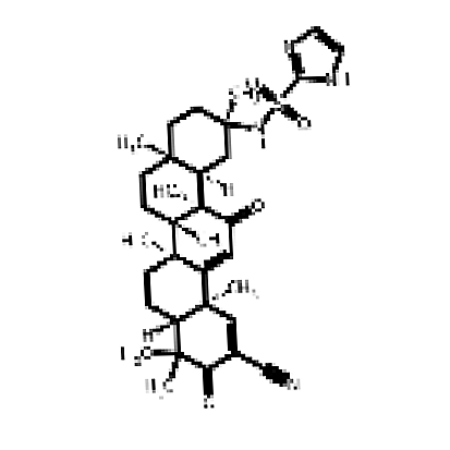 CC1(C)C(=O)C(C#N)=C[C@]2(C)C3=CC(=O)[C@]4(O)[C@@H]5C[C@@](C)(NS(=O)(=O)c6ncc[nH]6)CC[C@@]5(C)CC[C@@]4(C)[C@]3(C)CC[C@@H]12